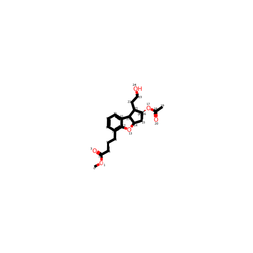 COC(=O)CCCc1cccc2c1OC1C[C@@H](OC(C)=O)C(CCO)C21